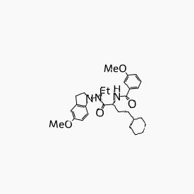 CCN(C(=O)C(CCC1CCCCC1)NC(=O)c1cccc(OC)c1)N1CCc2cc(OC)ccc21